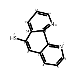 Sc1cc2cccnc2c2ncccc12